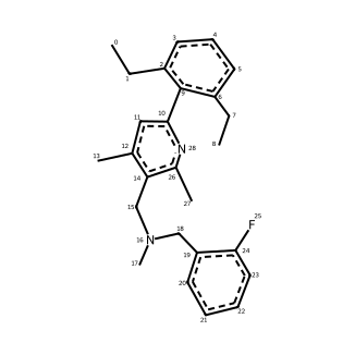 CCc1cccc(CC)c1-c1cc(C)c(CN(C)Cc2ccccc2F)c(C)n1